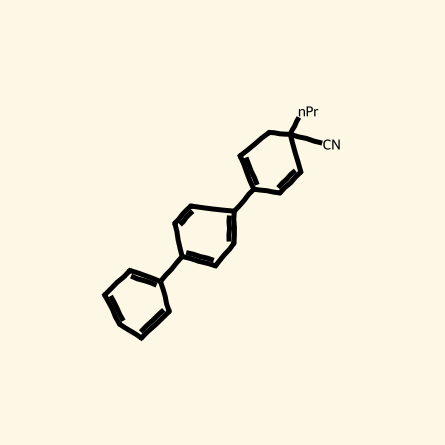 CCCC1(C#N)C=CC(c2ccc(-c3ccccc3)cc2)=CC1